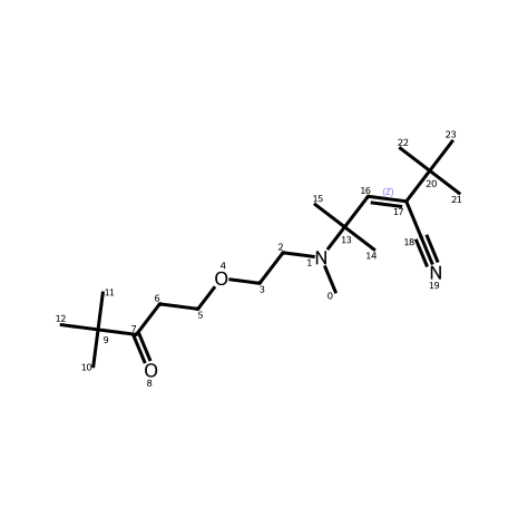 CN(CCOCCC(=O)C(C)(C)C)C(C)(C)/C=C(\C#N)C(C)(C)C